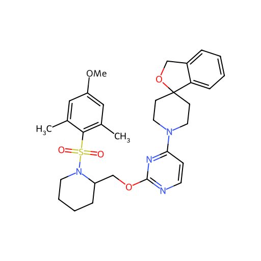 COc1cc(C)c(S(=O)(=O)N2CCCCC2COc2nccc(N3CCC4(CC3)OCc3ccccc34)n2)c(C)c1